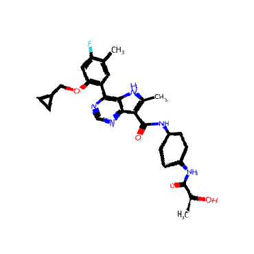 Cc1cc(-c2ncnc3c(C(=O)NC4CCC(NC(=O)[C@H](C)O)CC4)c(C)[nH]c23)c(OCC2CC2)cc1F